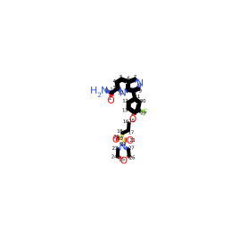 NC(=O)c1ccc2cncc(-c3ccc(OCCCS(=O)(=O)N4CCOCC4)c(F)c3)c2n1